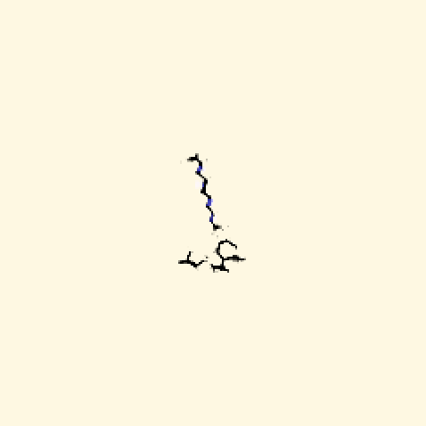 CO[C@@H]1C(OC(=O)/C=C/C=C/C=C/C=C/C(=O)O)CC[C@]2(CO2)C1C1(C)O[C@@H]1CC=C(C)C